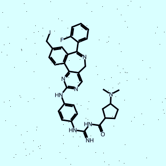 CN(C)C1CCC(C(=O)NC(=N)Nc2ccc(Nc3ncc4c(n3)-c3ccc(CI)cc3C(c3ccccc3F)=NC4)cc2)C1